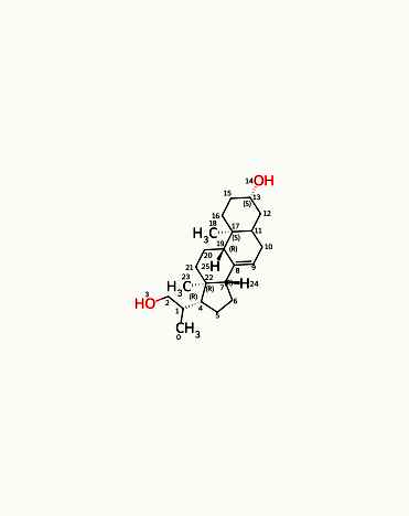 CC(CO)[C@H]1CC[C@H]2C3=CCC4C[C@@H](O)CC[C@]4(C)[C@H]3CC[C@]12C